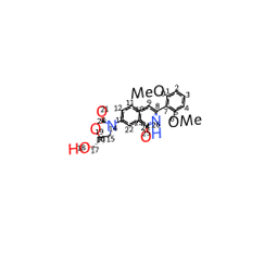 COc1cccc(OC)c1-c1cc2ccc(N3C[C@H](CO)OC3=O)cc2c(=O)[nH]1